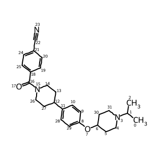 CC(C)N1CCC(Oc2ccc(C3CCN(C(=O)c4ccc(C#N)cc4)CC3)cc2)CC1